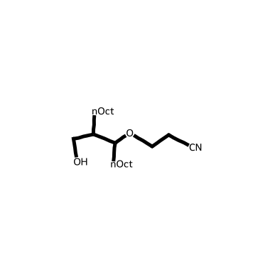 CCCCCCCCC(CO)C(CCCCCCCC)OCCC#N